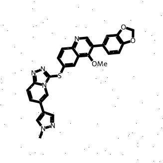 COc1c(-c2ccc3c(c2)OCO3)cnc2ccc(Sc3nnc4ccc(-c5cnn(C)c5)cn34)cc12